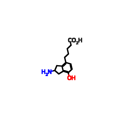 NC1Cc2c(O)ccc(CCCCC(=O)O)c2C1